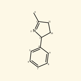 CC1=NC(c2ccccc2)CC1